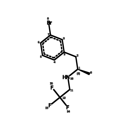 C[C@H](Cc1cccc(Br)c1)NCC(F)(F)F